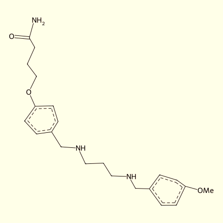 COc1ccc(CNCCCNCc2ccc(OCCCC(N)=O)cc2)cc1